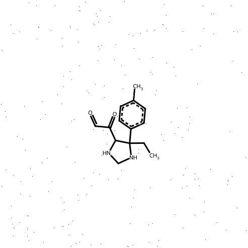 CCC1(c2ccc(C)cc2)NCNC1C(=O)C=O